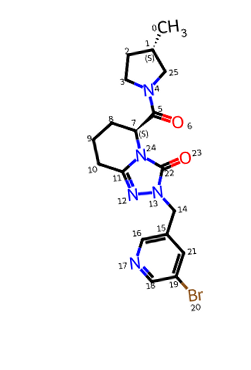 C[C@H]1CCN(C(=O)[C@@H]2CCCc3nn(Cc4cncc(Br)c4)c(=O)n32)C1